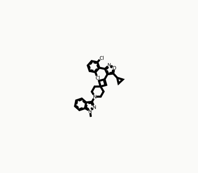 Cn1nc(N2CCC3(C=C(c4c(-c5c(Cl)cccc5Cl)noc4C4CC4)C3)CC2)c2ccccc21